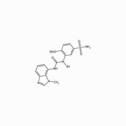 COc1ccc(S(N)(=O)=O)cc1N(S)C(=O)Nc1cccc2ncn(C)c12